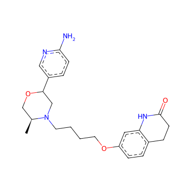 C[C@H]1COC(c2ccc(N)nc2)CN1CCCCOc1ccc2c(c1)NC(=O)CC2